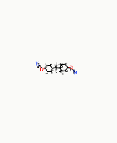 CC(C)(C1CCC(OC#N)CC1)C1CCC(OC#N)CC1